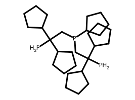 PC(CP(CC(P)(C1CCCC1)C1CCCC1)C1CCCC1)(C1CCCC1)C1CCCC1